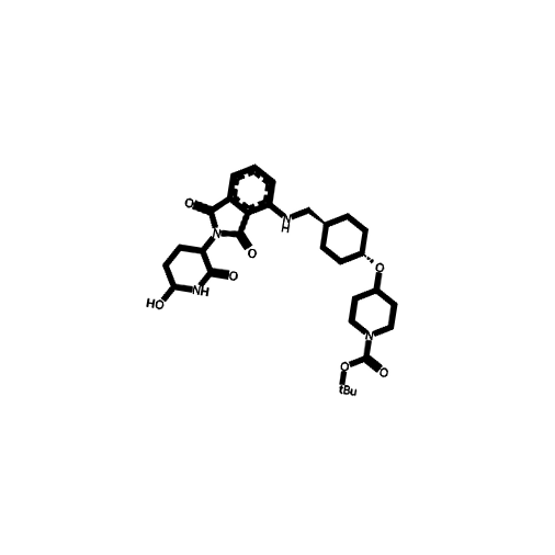 CC(C)(C)OC(=O)N1CCC(O[C@H]2CC[C@H](CNc3cccc4c3C(=O)N(C3CCC(O)NC3=O)C4=O)CC2)CC1